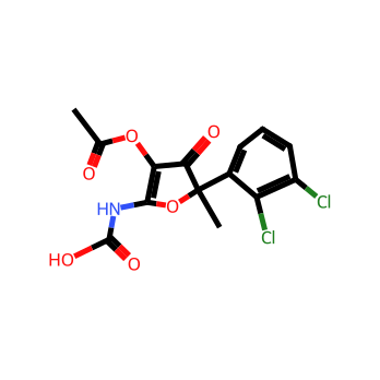 CC(=O)OC1=C(NC(=O)O)OC(C)(c2cccc(Cl)c2Cl)C1=O